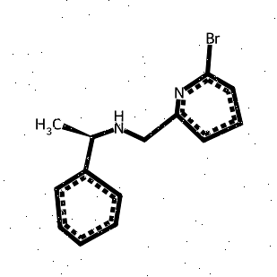 C[C@@H](NCc1cccc(Br)n1)c1ccccc1